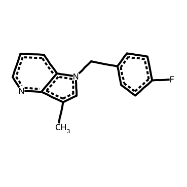 Cc1cn(Cc2ccc(F)cc2)c2cccnc12